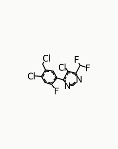 Fc1cc(Cl)c(CCl)cc1-c1ncnc(C(F)F)c1Cl